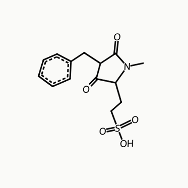 CN1C(=O)C(Cc2ccccc2)C(=O)C1CCS(=O)(=O)O